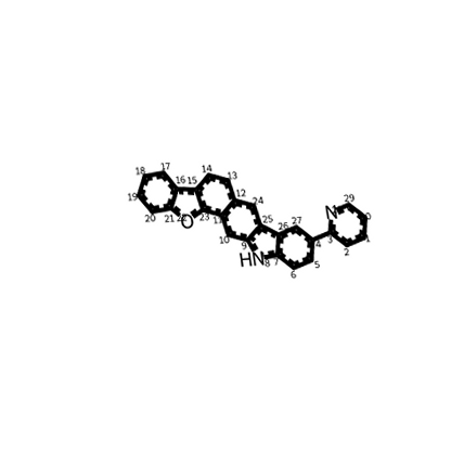 c1ccc(-c2ccc3[nH]c4cc5c(ccc6c7ccccc7oc56)cc4c3c2)nc1